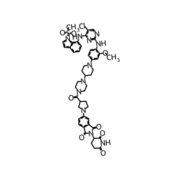 COc1cc(N2CCC(N3CCN(C(=O)C4CCN(c5ccc6c(c5)C(=O)N(C5CCC(=O)NC5=O)C6=O)C4)CC3)CC2)ccc1Nc1ncc(Cl)c(Nc2cccc3ccn(S(C)(=O)=O)c23)n1